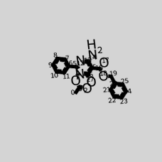 CC(=O)On1c(-c2ccccc2)nc(N)c(C(=O)OCc2ccccc2)c1=O